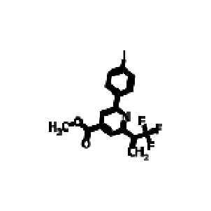 C=C(c1cc(C(=O)OC)cc(-c2ccc(I)cc2)n1)C(F)(F)F